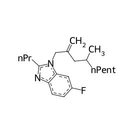 C=C(CC(C)CCCCC)Cn1c(CCC)nc2ccc(F)cc21